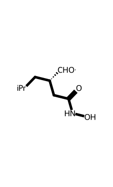 CC(C)C[C@H]([C]=O)CC(=O)NO